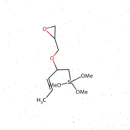 CC=CC(C[Si](OC)(OC)OC)OCC1CO1